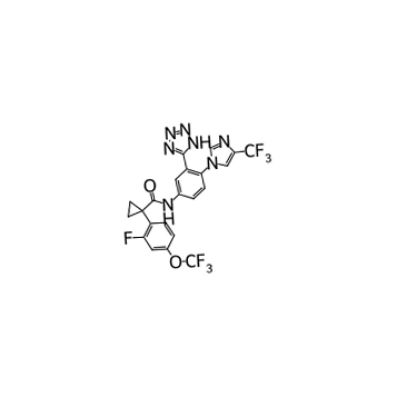 O=C(Nc1ccc(-n2cnc(C(F)(F)F)c2)c(-c2nnn[nH]2)c1)C1(c2ccc(OC(F)(F)F)cc2F)CC1